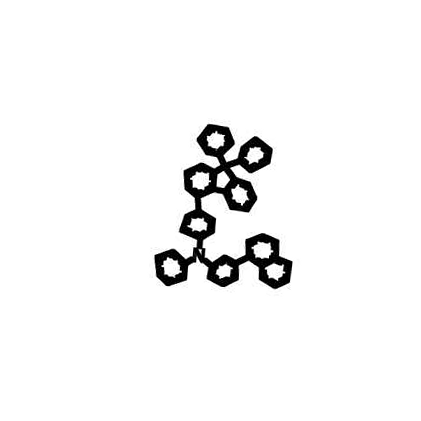 c1ccc(N(c2ccc(-c3cccc4c3-c3ccccc3C4(c3ccccc3)c3ccccc3)cc2)c2cccc(-c3cccc4ccccc34)c2)cc1